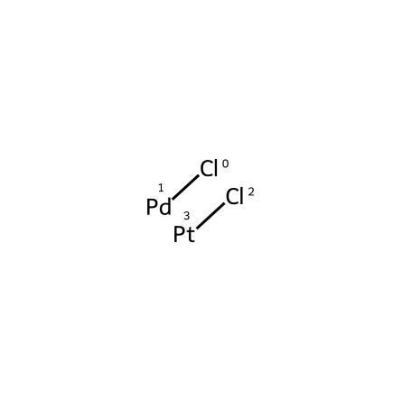 [Cl][Pd].[Cl][Pt]